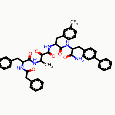 CC(NC(=O)C(Cc1ccccc1)NC(=O)Cc1ccccc1)C(=O)C(=O)NC(Cc1cccc(C(F)(F)F)c1)C(=O)NC(Cc1ccc(-c2ccccc2)cc1)C(N)=O